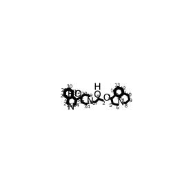 O[C@H](COC1CCN2CCCc3cccc1c32)CN1CCC(O)(c2cncc3ccccc23)CC1